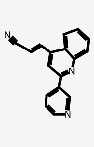 N#CC=Cc1cc(-c2cccnc2)nc2ccccc12